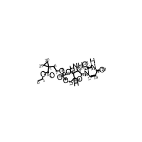 CCOC(=O)C1(CCO[P@@]2(=O)OC[C@H]3O[C@@H](n4ccc(=O)[nH]c4=O)[C@](C)(N)[C@@H]3O2)CC1